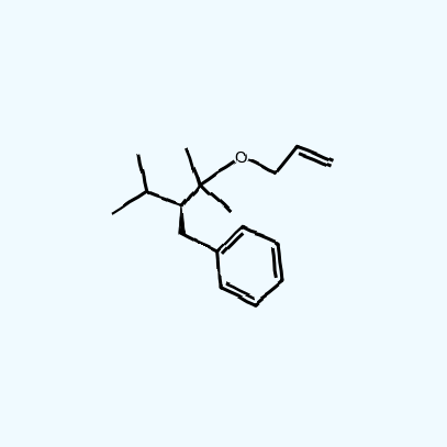 C=CCOC(C)(C)[C@@H](Cc1ccccc1)C(C)C